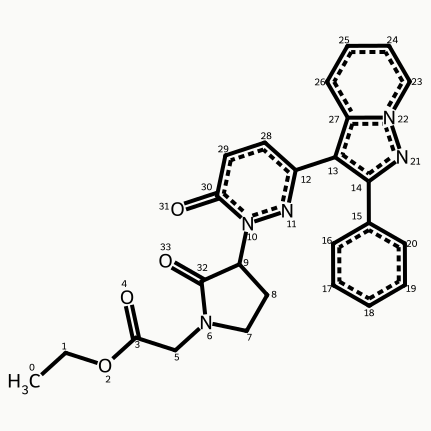 CCOC(=O)CN1CCC(n2nc(-c3c(-c4ccccc4)nn4ccccc34)ccc2=O)C1=O